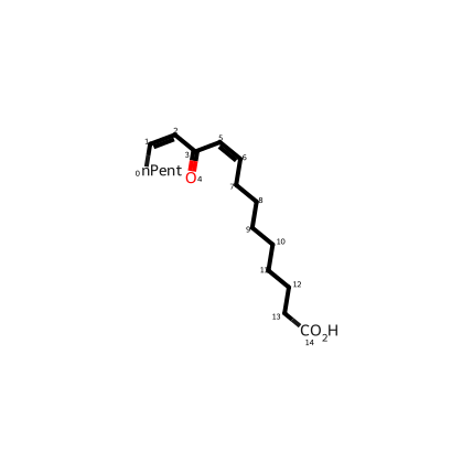 CCCCC/C=C\C(=O)/C=C\CCCCCCCC(=O)O